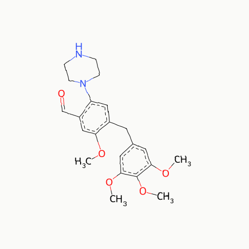 COc1cc(C=O)c(N2CCNCC2)cc1Cc1cc(OC)c(OC)c(OC)c1